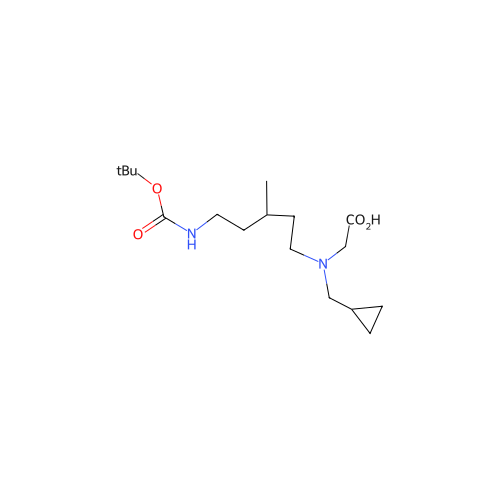 CC(CCNC(=O)OC(C)(C)C)CCN(CC(=O)O)CC1CC1